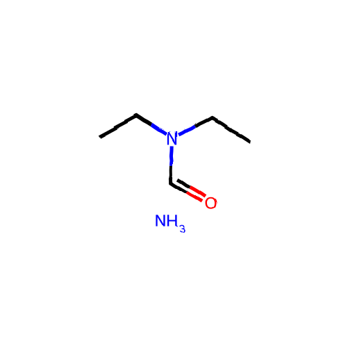 CCN(C=O)CC.N